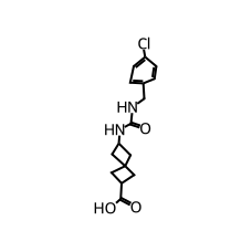 O=C(NCc1ccc(Cl)cc1)NC1CC2(C1)CC(C(=O)O)C2